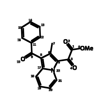 COC(=O)C(=O)c1c(C)c(C(=O)c2ccccc2)c2ccccn12